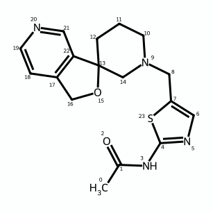 CC(=O)Nc1ncc(CN2CCCC3(C2)OCc2ccncc23)s1